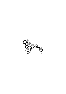 CC1Cc2c([nH]c3ccccc23)C(c2c(F)cc(OCCN3CC[C@H](C)C3)cc2F)N1CC(C)(C)F